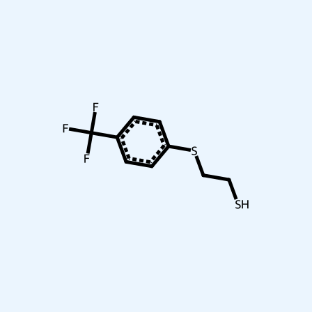 FC(F)(F)c1ccc(SCCS)cc1